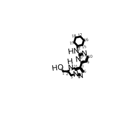 OCC1Cn2ncc(-c3ccnc(NC4CCCCC4)n3)c2N1